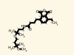 CCc1ccc(CCCC(=O)NCCC(C)(C)OCCC(C)(C)OC)c2c1C(=O)OC2=O